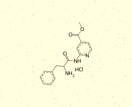 COC(=O)c1ccnc(NC(=O)C(N)Cc2ccccc2)c1.Cl